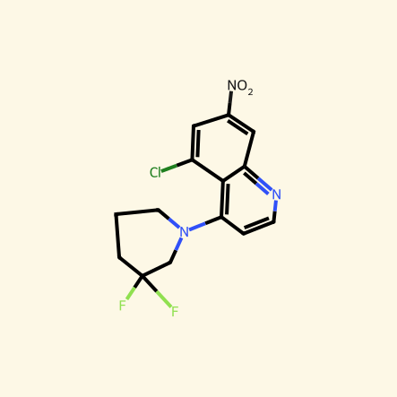 O=[N+]([O-])c1cc(Cl)c2c(N3CCCC(F)(F)C3)ccnc2c1